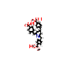 O=C(O)c1ccc(Cc2cc(Cc3ccc(C(=O)O)cc3)nc(Cc3ccc(C(=O)O)cc3)c2)cc1